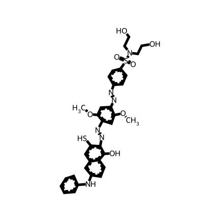 COc1cc(/N=N/c2c(S)cc3cc(Nc4ccccc4)ccc3c2O)c(OC)cc1/N=N/c1ccc(S(=O)(=O)N(CCO)CCO)cc1